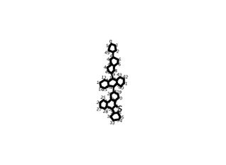 c1ccc(-c2ccc3cc(-c4c5ccccc5c(-c5ccc6c(c5)c5ccccc5c5c7ccccc7sc65)c5ccccc45)ccc3c2)cc1